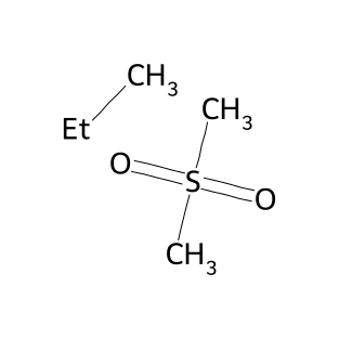 CCC.CS(C)(=O)=O